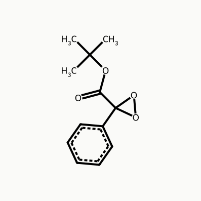 CC(C)(C)OC(=O)C1(c2ccccc2)OO1